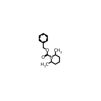 CC1CCCC(C)N1C(=O)OCc1ccccc1